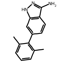 Cc1cccc(C)c1-c1ccc2c(N)n[nH]c2c1